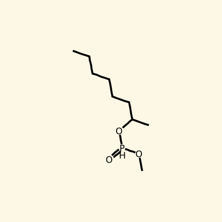 CCCCCCC(C)O[PH](=O)OC